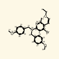 CCO/C=C\c1c(Br)cc(N(Cc2ccc(OC)cc2)Cc2ccc(OC)cc2)nc1C